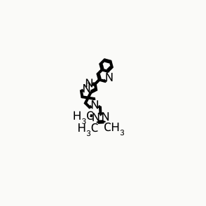 Cc1nc(CN2CCC3(CCn4nc(-c5cnc6ccccc6c5)cc43)C2)n(C)c1C